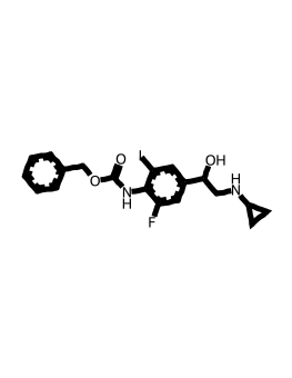 O=C(Nc1c(F)cc(C(O)CNC2CC2)cc1I)OCc1ccccc1